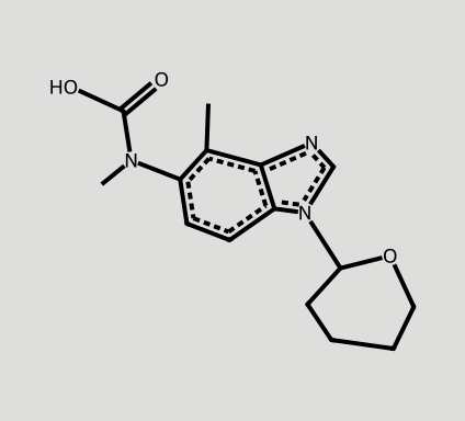 Cc1c(N(C)C(=O)O)ccc2c1ncn2C1CCCCO1